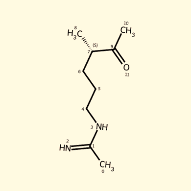 CC(=N)NCCC[C@H](C)C(C)=O